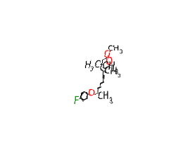 CCOC(=O)CC(C)(C)C[C@H](C)C#C/C=C/C=C/[C@H](C)COc1ccc(F)cc1